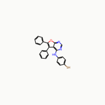 Sc1ccc(Nc2ncnc3oc(-c4ccccc4)c(-c4ccccc4)c23)cc1